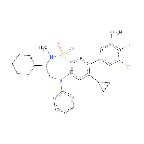 CN1[C@H](C2CCCCC2)CN(c2ccccc2)c2cc(C3CC3)c(-c3cc(F)c(F)c(C(=O)O)c3)cc2S1(=O)=O